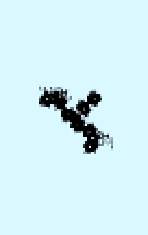 CC1(C)c2ccccc2-c2cc(-c3ccc4c5ccc(-c6ccc7c(c6)-c6ccccc6C7(C)C)cc5n(-c5ccc(-c6ccccc6)cc5)c4c3)ccc21